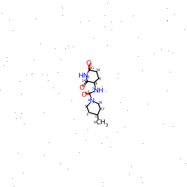 CC1CCN(C(=O)NC2CCC(=O)NC2=O)CC1